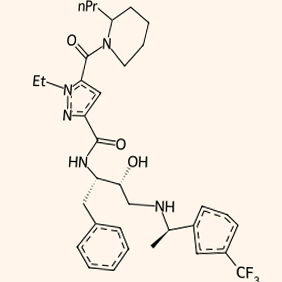 CCCC1CCCCN1C(=O)c1cc(C(=O)N[C@@H](Cc2ccccc2)[C@H](O)CN[C@H](C)c2cccc(C(F)(F)F)c2)nn1CC